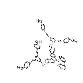 Oc1ccc(C#Cc2cc(C#Cc3ccc(O)cc3)cc(Oc3ccc4cc(C5(c6ccc7cc(Oc8cc(C#Cc9ccc(O)cc9)cc(C#Cc9ccc(O)cc9)c8)ccc7c6)c6ccccc6-c6ccccc65)ccc4c3)c2)cc1